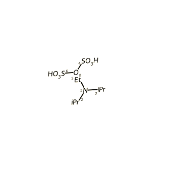 CCN(C(C)C)C(C)C.O=S(=O)(O)OS(=O)(=O)O